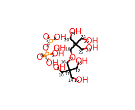 O=P(O)(O)OP(=O)(O)O.OCC(CO)(CO)COCC(CO)(CO)CO